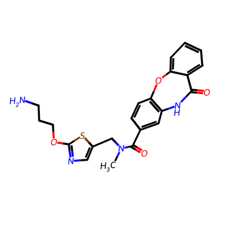 CN(Cc1cnc(OCCCN)s1)C(=O)c1ccc2c(c1)NC(=O)c1ccccc1O2